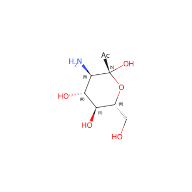 CC(=O)[C@@]1(O)O[C@H](CO)[C@@H](O)[C@H](O)[C@H]1N